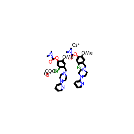 COc1cc(CN2CCN(c3ccccn3)CC2)c(Br)cc1OC(=O)N(C)C.COc1cc(CN2CCN(c3ccccn3)CC2)c(Br)cc1OC(=O)N(C)C.O=C([O-])[O-].[Cs+].[Cs+]